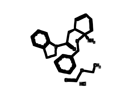 CCOC=O.Cl.N[C@]1(OCc2ccccc2)C=CC=C[C@@H]1CC(=O)N1CCc2ccccc21